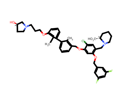 Cc1c(COc2cc(OCc3cc(F)cc(F)c3)c(CN3CCCC[C@H]3C(=O)O)cc2Cl)cccc1-c1cccc(OCCCN2CC[C@@H](O)C2)c1C